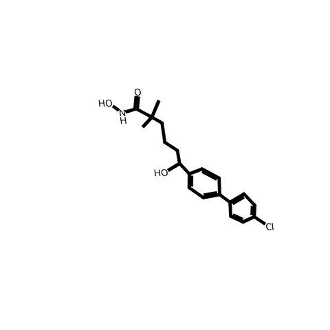 CC(C)(CCCC(O)c1ccc(-c2ccc(Cl)cc2)cc1)C(=O)NO